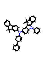 CC1(C)c2ccccc2-c2ccc(N(C3=CCC(c4ccccc4)C=C3)c3ccc4c(c3)c3c(n4-c4ccccc4)-c4ccccc4C3(C)C)cc21